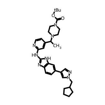 CC(c1ccnc(Nc2nc3ccc(-c4cnn(CC5CCCC5)c4)cc3[nH]2)c1)N1CCN(C(=O)OC(C)(C)C)CC1